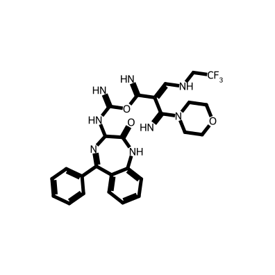 N=C(NC1N=C(c2ccccc2)c2ccccc2NC1=O)OC(=N)/C(=C/NCC(F)(F)F)C(=N)N1CCOCC1